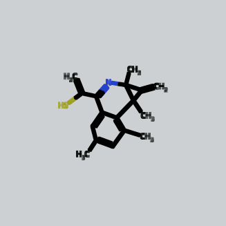 C=C(S)C1=NC2(C)C(=C)C2(C)c2c(C)cc(C)cc21